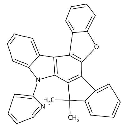 CC1(C)c2ccccc2-c2c1c1c(c3ccccc3n1-c1ccccn1)c1c2oc2ccccc21